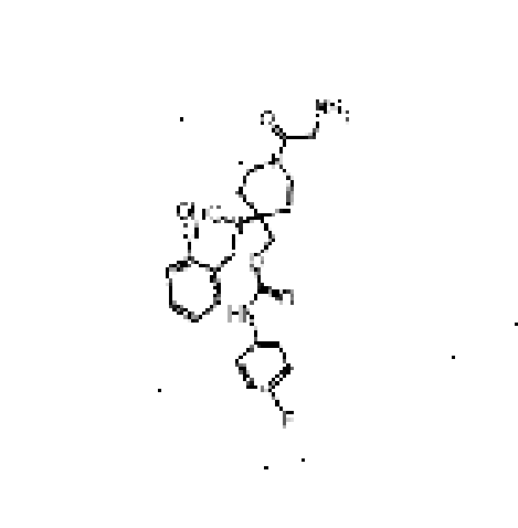 NCC(=O)N1CCC(COC(=O)Nc2ccc(F)cc2)(N(C=O)Cc2ccccc2Cl)CC1